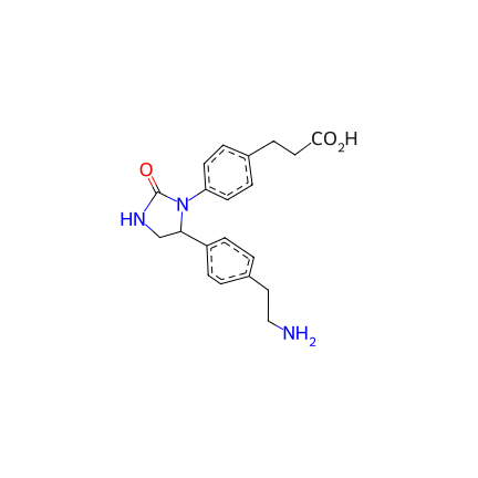 NCCc1ccc(C2CNC(=O)N2c2ccc(CCC(=O)O)cc2)cc1